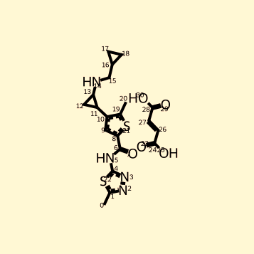 Cc1nnc(NC(=O)c2cc(C3CC3NCC3CC3)c(C)s2)s1.O=C(O)C=CC(=O)O